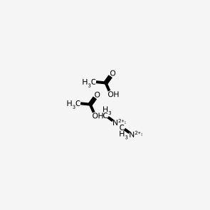 CC(=O)O.CC(=O)O.C[N+2].C[N+2]